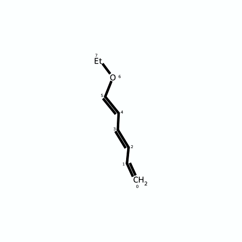 C=CC=CC=COCC